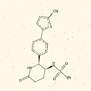 CC(C)S(=O)(=O)N[C@H]1CCC(=O)N[C@H]1c1ccc(-c2ccc(C#N)s2)cc1